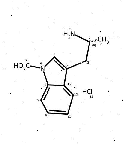 C[C@@H](N)Cc1cn(C(=O)O)c2ccccc12.Cl